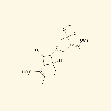 CO/N=C(/CNC1C(=O)N2C(C(=O)O)=C(C)CS[C@H]12)C1(C)OCCO1